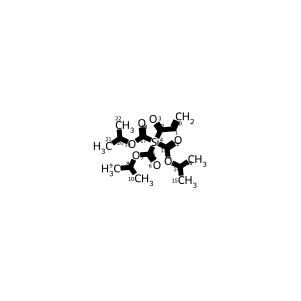 C=CC(=O)[Si](C(=O)OC(C)C)(C(=O)OC(C)C)C(=O)OC(C)C